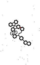 c1ccc(CCC(c2ccc(-c3ccc4ccccc4c3)cc2)c2cccc3c2Oc2c(ccc4c2-c2ccccc2C42c4ccccc4-c4ccccc42)O3)cc1